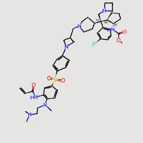 C=CC(=O)Nc1cc(S(=O)(=O)c2ccc(N3CC(CN4CCC([C@@](CN5CCC5)(c5cccc(F)c5)[C@H]5CCC[C@@H]5NC(=O)OC)CC4)C3)cc2)ccc1N(C)CCN(C)C